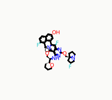 C#Cc1c(F)ccc2cc(O)cc(-c3nc4c5c(nc(OC[C@@]67CCCN6C[C@H](F)C7)nc5c3F)N[C@@H]([C@H]3CCCCO3)CO4)c12